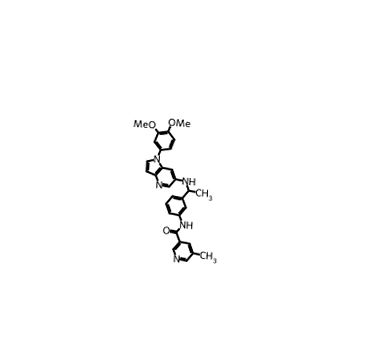 COc1ccc(-n2ccc3ncc(NC(C)c4cccc(NC(=O)c5cncc(C)c5)c4)cc32)cc1OC